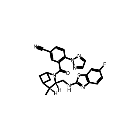 C[C@@H]1C2CC(C2)N(C(=O)c2cc(C#N)ccc2-n2nccn2)[C@@H]1CNc1nc2ccc(F)cc2s1